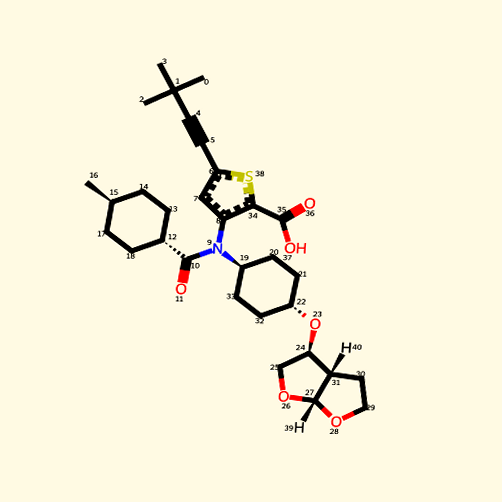 CC(C)(C)C#Cc1cc(N(C(=O)[C@H]2CC[C@H](C)CC2)[C@H]2CC[C@H](O[C@@H]3CO[C@H]4OCC[C@H]43)CC2)c(C(=O)O)s1